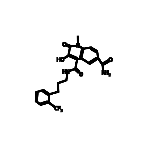 Cn1c(=O)c(O)c(C(=O)NCCCc2ccccc2C(F)(F)F)c2cc(C(N)=O)ccc21